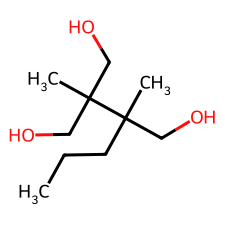 CCCC(C)(CO)C(C)(CO)CO